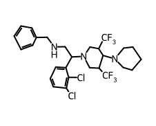 FC(F)(F)C1CN(C(CNCc2ccccc2)c2cccc(Cl)c2Cl)CC(C(F)(F)F)C1N1CCCCC1